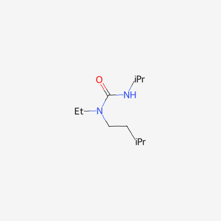 CCN(CCC(C)C)C(=O)NC(C)C